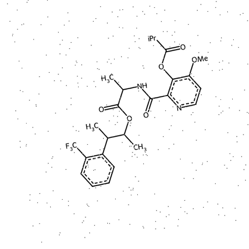 COc1ccnc(C(=O)NC(C)C(=O)OC(C)C(C)c2ccccc2C(F)(F)F)c1OC(=O)C(C)C